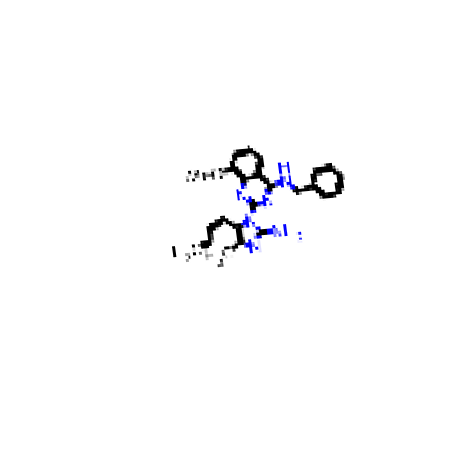 C=C/C=C\c1c(C)nc(N)n1-c1nc(NCc2ccccc2)c2cccc(OC)c2n1